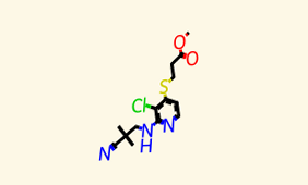 COC(=O)CCSc1ccnc(NCC(C)(C)C#N)c1Cl